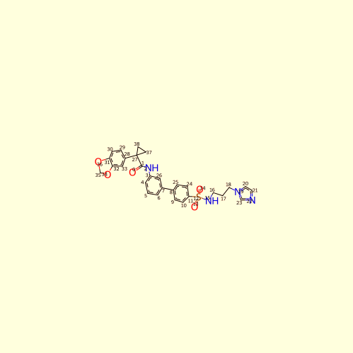 O=C(Nc1cccc(-c2ccc(S(=O)(=O)NCCCn3ccnc3)cc2)c1)C1(c2ccc3c(c2)OCO3)CC1